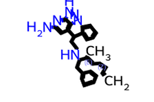 C=C/C=C\C=C(/C)C(Cc1ccccc1)NCCC(c1ccccc1)c1cc(N)nc2[nH]nnc12